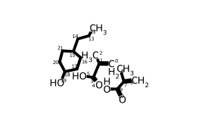 C=C(C)C(=O)O.C=C(C)C(=O)O.CCCC1CCC(O)CC1